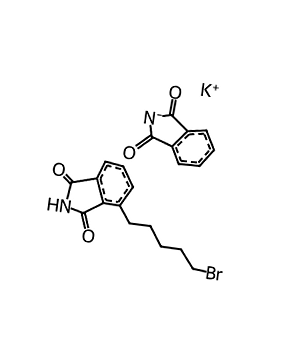 O=C1NC(=O)c2c(CCCCCBr)cccc21.O=C1[N-]C(=O)c2ccccc21.[K+]